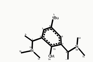 CC(c1cc(C(C)(C)C)cc(C(C)N(C)C)c1O)N(C)C